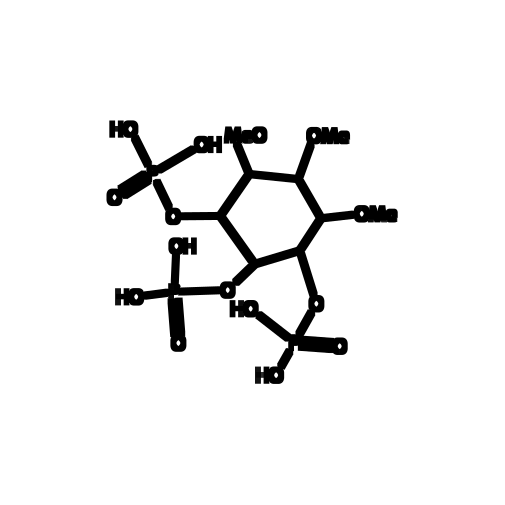 COC1C(OC)C(OP(=O)(O)O)C(OP(=O)(O)O)C(OP(=O)(O)O)C1OC